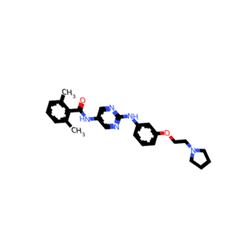 Cc1cccc(C)c1C(=O)Nc1cnc(Nc2cccc(OCCN3CCCC3)c2)nc1